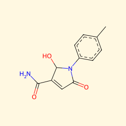 Cc1ccc(N2C(=O)C=C(C(N)=O)C2O)cc1